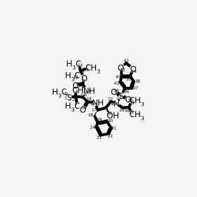 CSC(C)(C)[C@H](NC(=O)OC(C)(C)C)C(=O)N[C@@H](Cc1ccccc1)[C@H](O)CN(CC(C)C)S(=O)(=O)c1ccc2c(c1)OCO2